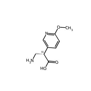 COc1ccc([C@@H](CN)C(=O)O)cn1